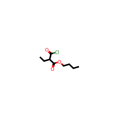 CCCCOC(=O)C(CC)C(=O)Cl